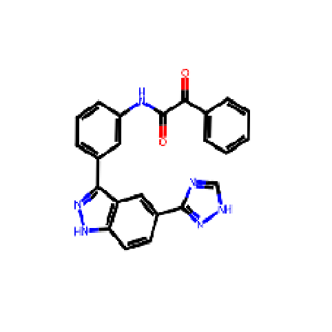 O=C(Nc1cccc(-c2n[nH]c3ccc(-c4nc[nH]n4)cc23)c1)C(=O)c1ccccc1